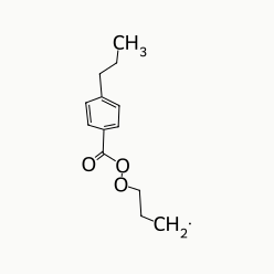 [CH2]CCOOC(=O)c1ccc(CCC)cc1